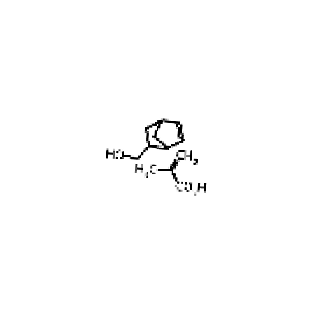 C=C(C)C(=O)O.OCC1CC2C=CC1C2